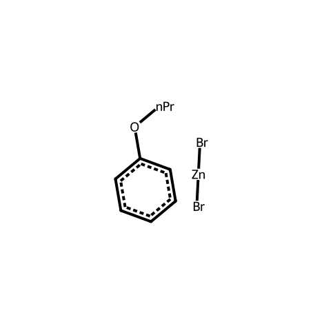 [Br][Zn][Br].[CH2]CCOc1ccccc1